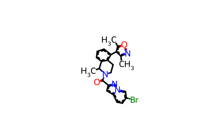 Cc1noc(C)c1-c1cccc2c1CCN(C(=O)c1cc3ccc(Br)cn3n1)C2C